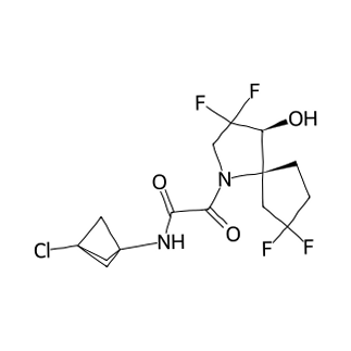 O=C(NC12CC(Cl)(C1)C2)C(=O)N1CC(F)(F)[C@@H](O)[C@@]12CCC(F)(F)C2